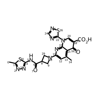 Cc1nnc(NC(=O)C2CN(c3cc(C)c4c(=O)c(C(=O)O)cn(-c5ncns5)c4n3)C2)s1